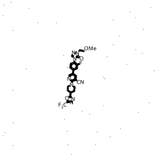 COCCn1ncn(-c2ccc(-c3cnc(N4CCC(c5nnc(C(F)(F)F)o5)CC4)c(C#N)c3)cc2F)c1=O